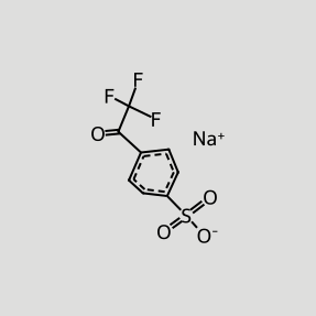 O=C(c1ccc(S(=O)(=O)[O-])cc1)C(F)(F)F.[Na+]